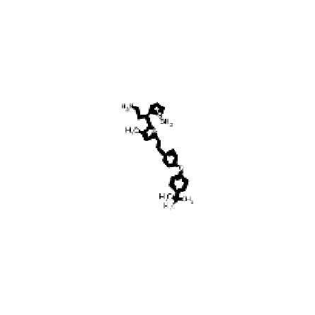 Bn1cccc1/C(CCN)=C1N=C(/C=C/c2ccc(Oc3ccc(C(C)(C)C)cc3)cc2)C=C\1C